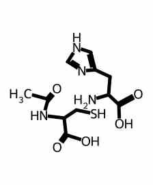 CC(=O)NC(CS)C(=O)O.NC(Cc1c[nH]cn1)C(=O)O